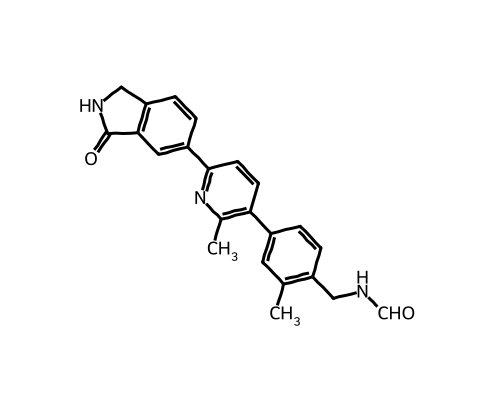 Cc1cc(-c2ccc(-c3ccc4c(c3)C(=O)NC4)nc2C)ccc1CNC=O